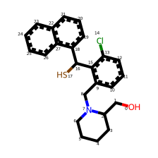 OCC1CCCCN1Cc1cccc(Cl)c1C(S)c1cccc2ccccc12